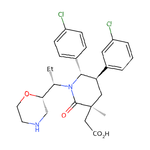 CC[C@@H]([C@@H]1CNCCO1)N1C(=O)[C@](C)(CC(=O)O)C[C@H](c2cccc(Cl)c2)[C@H]1c1ccc(Cl)cc1